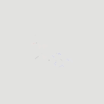 C#C[C@]1(COC(=O)CC(F)(F)F)O[C@@](C)(n2cnc3c(N)nc(F)nc32)C[C@@H]1O